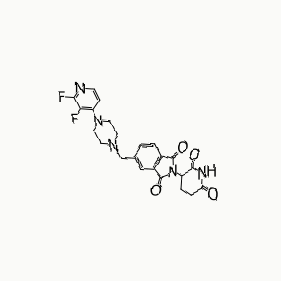 O=C1CCC(N2C(=O)c3ccc(CN4CCN(c5ccnc(F)c5F)CC4)cc3C2=O)C(=O)N1